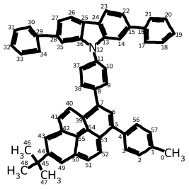 Cc1ccc(-c2cc(-c3ccc(-n4c5cc(-c6ccccc6)ccc5c5ccc(-c6ccccc6)cc54)cc3)c3ccc4cc(C(C)(C)C)cc5ccc2c3c54)cc1